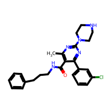 Cc1nc(N2CCNCC2)nc(-c2cccc(Cl)c2)c1C(=O)NCCCc1ccccc1